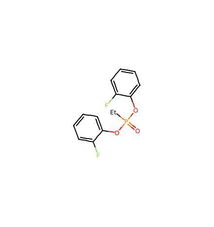 CCP(=O)(Oc1ccccc1F)Oc1ccccc1F